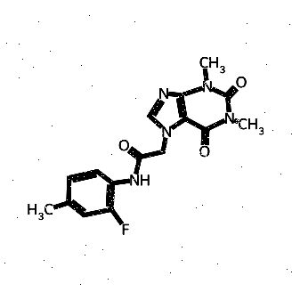 Cc1ccc(NC(=O)Cn2cnc3c2c(=O)n(C)c(=O)n3C)c(F)c1